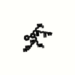 CC(C)CNCCCNC(CCN)Cc1cc(CC(CCN)NCCCNCC(C)C)cc(-c2ccccc2)c1